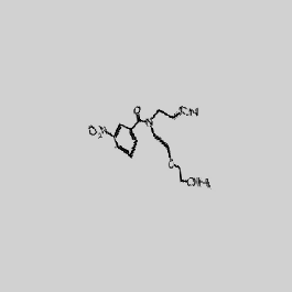 N#CCCN(CCOCCO)C(=O)c1cc[c]c([N+](=O)[O-])c1